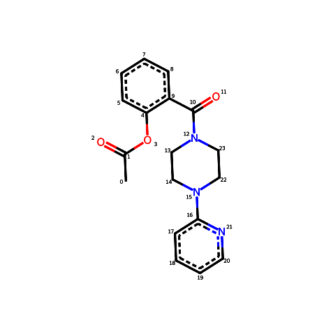 CC(=O)Oc1ccccc1C(=O)N1CCN(c2ccccn2)CC1